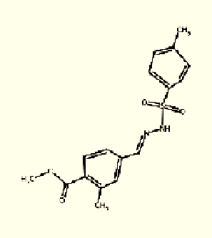 COC(=O)c1ccc(/C=N/NS(=O)(=O)c2ccc(C)cc2)cc1C